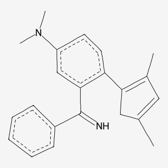 CC1=CC(C)=C(c2ccc(N(C)C)cc2C(=N)c2ccccc2)C1